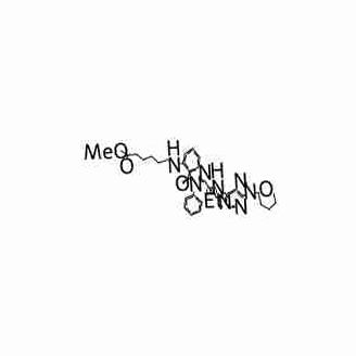 CC[C@H](Nc1ncnc2c1ncn2C1CCCCO1)c1nc2cccc(NCCCCCC(=O)OC)c2c(=O)n1-c1ccccc1